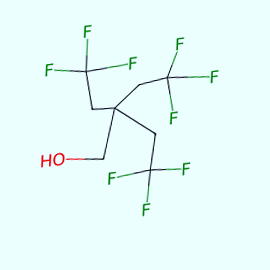 OCC(CC(F)(F)F)(CC(F)(F)F)CC(F)(F)F